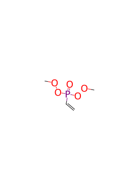 C=CP(=O)(OOC)OOC